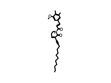 CCCCCCCCCCC#CC1=CCCN(C(=O)/C=C/c2cc(C)c(C)c(OC)c2)C1=O